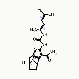 C/C(Cl)=C\C=C(/C)NC(=O)Nc1sc2c(c1C(N)=O)C1CC[C@@H](C2)N1C